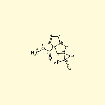 COC(=O)C12C=CCN1CC1(C2)CC1(F)F